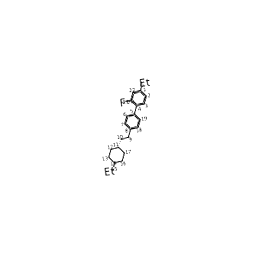 CCc1ccc(-c2ccc(CC[C@H]3CC[C@H](CC)CC3)cc2)c(F)c1